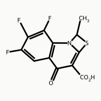 CC1Sc2c(C(=O)O)c(=O)c3cc(F)c(F)c(F)c3n21